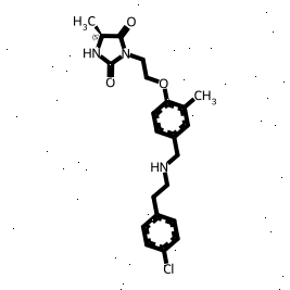 Cc1cc(CNCCc2ccc(Cl)cc2)ccc1OCCN1C(=O)N[C@@H](C)C1=O